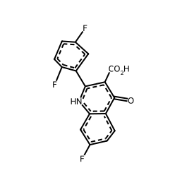 O=C(O)c1c(-c2cc(F)ccc2F)[nH]c2cc(F)ccc2c1=O